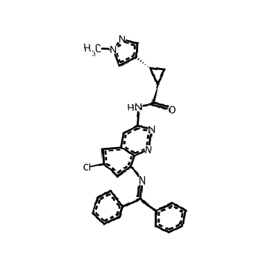 Cn1cc([C@@H]2C[C@H]2C(=O)Nc2cc3cc(Cl)cc(N=C(c4ccccc4)c4ccccc4)c3nn2)cn1